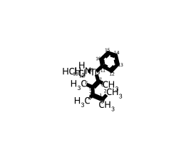 CC(C)=C(C)C(C)=[C](C)[Ti]([NH2])[c]1ccccc1.Cl.Cl